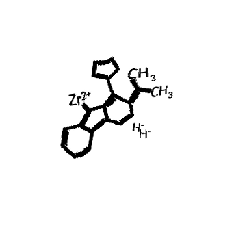 CC(C)=c1ccc2c(c1C1=CC=CC1)[C]([Zr+2])=c1ccccc1=2.[H-].[H-]